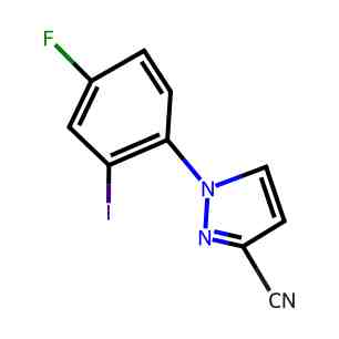 N#Cc1ccn(-c2ccc(F)cc2I)n1